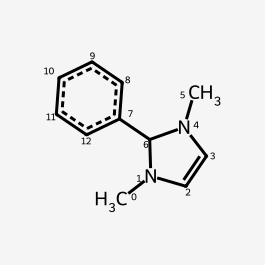 CN1C=CN(C)C1c1ccccc1